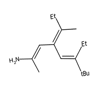 CC/C(C)=C(\C=C(/C)N)/C=C(\CC)C(C)(C)C